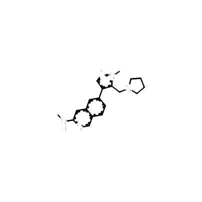 CNc1cc2cc(-c3cnn(C)c3CN3CCCC3)ccc2cn1